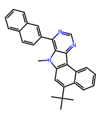 Cn1c2cc(C(C)(C)C)c3ccccc3c2c2ncnc(-c3ccc4ccccc4c3)c21